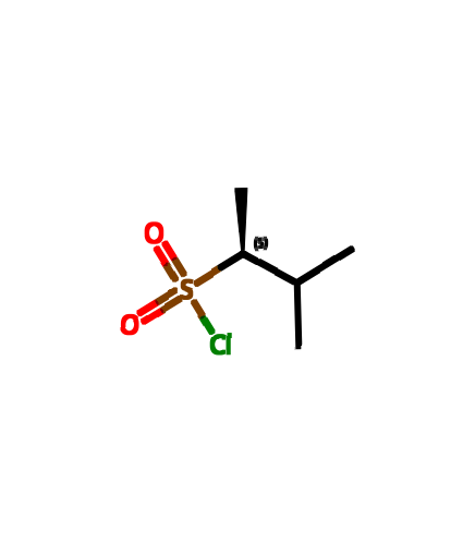 CC(C)[C@H](C)S(=O)(=O)Cl